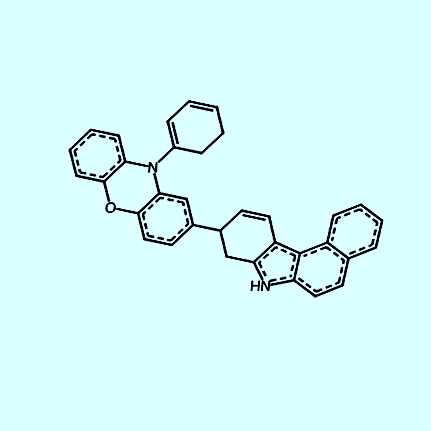 C1=CCCC(N2c3ccccc3Oc3ccc(C4C=Cc5c([nH]c6ccc7ccccc7c56)C4)cc32)=C1